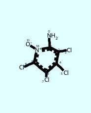 Nc1c(Cl)c(Cl)c(Cl)c(Cl)[n+]1[O-]